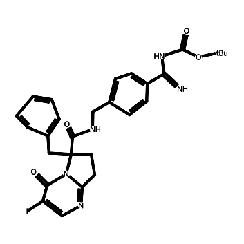 CC(C)(C)OC(=O)NC(=N)c1ccc(CNC(=O)C2(Cc3ccccc3)CCc3ncc(I)c(=O)n32)cc1